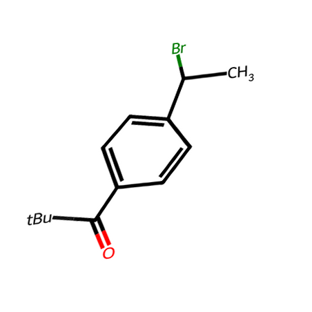 CC(Br)c1ccc(C(=O)C(C)(C)C)cc1